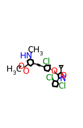 CCNc1cc(C#Cc2ccc(OCc3c(-c4c(Cl)cccc4Cl)noc3C3CC3)cc2Cl)cc(C(=O)OC)c1